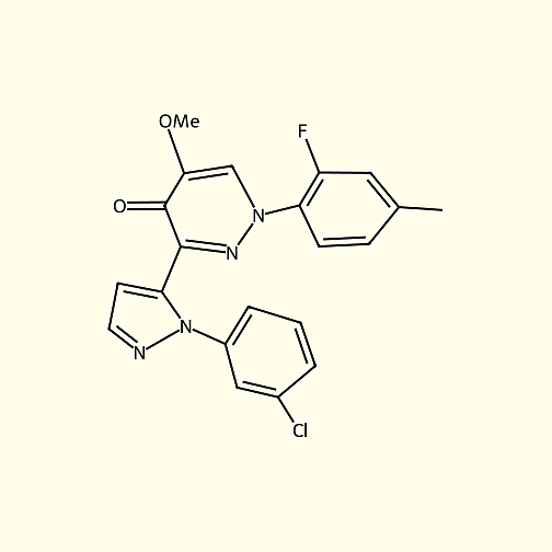 COc1cn(-c2ccc(C)cc2F)nc(-c2ccnn2-c2cccc(Cl)c2)c1=O